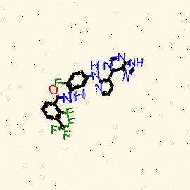 O=C(Nc1cc(Nc2ncccc2-c2ncnc3[nH]cnc23)ccc1F)c1cccc(C(F)(F)F)c1F